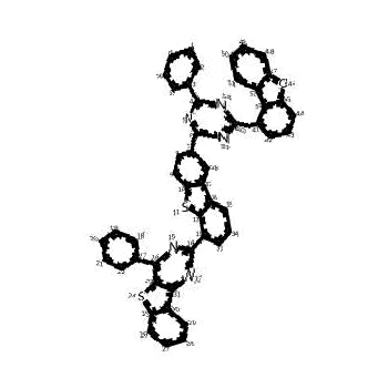 c1ccc(-c2nc(-c3ccc4sc5c(-c6nc(-c7ccccc7)c7sc8ccccc8c7n6)cccc5c4c3)nc(-c3cccc4oc5ccccc5c34)n2)cc1